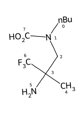 CCCCN(CC(C)(N)C(F)(F)F)C(=O)O